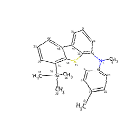 Cc1ccc(N(C)c2cccc3c2sc2c([Si](C)(C)C)cccc23)cc1